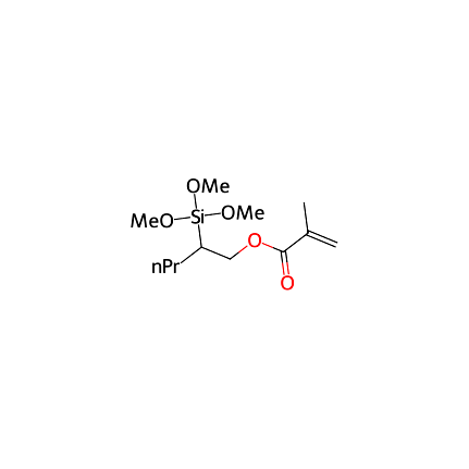 C=C(C)C(=O)OCC(CCC)[Si](OC)(OC)OC